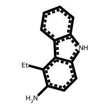 CCc1c(N)ccc2[nH]c3ccccc3c12